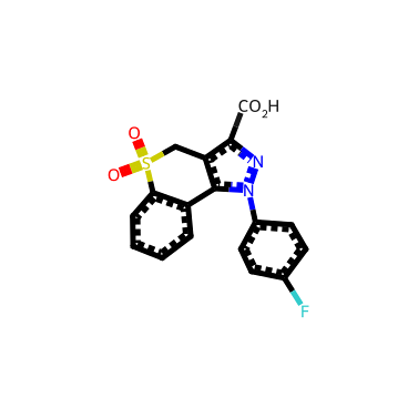 O=C(O)c1nn(-c2ccc(F)cc2)c2c1CS(=O)(=O)c1ccccc1-2